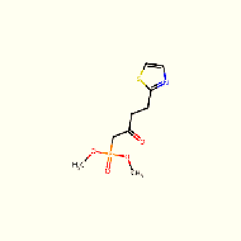 COP(=O)(CC(=O)CCc1nccs1)OC